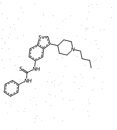 CCCCN1CCC(c2csc3ccc(NC(=S)Nc4ccccc4)cc23)CC1